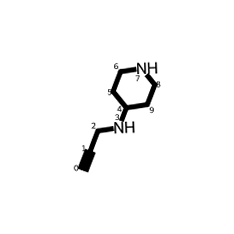 C#CCNC1CCNCC1